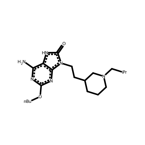 CCCCOc1nc(N)c2[nH]c(=O)n(CCC3CCCN(CC(C)C)C3)c2n1